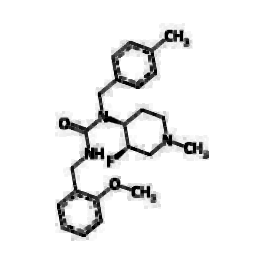 COc1ccccc1CNC(=O)N(Cc1ccc(C)cc1)[C@H]1CCN(C)C[C@H]1F